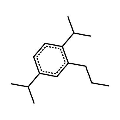 CCCc1cc(C(C)C)ccc1C(C)C